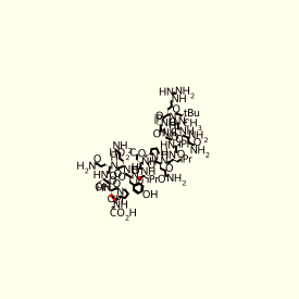 CC(C)C[C@H](NC(=O)[C@H](CCCNC(=N)N)NC(=O)[C@@H](N(C)C(=O)[C@H](C)NC(=O)[C@@H](N)CC(N)=O)C(C)(C)C)C(=O)NCC(=O)N[C@H](C(=O)N[C@@H](CC(C)C)C(=O)N[C@@H](CCC(N)=O)C(=O)N1CCC[C@H]1C(=O)N[C@@H](CCC(=O)O)C(=O)N[C@H](C(=O)N[C@@H](Cc1ccc(O)cc1)C(=O)N[C@@H](CCCCN)C(=O)N[C@@H](CCC(N)=O)C(=O)N[C@@H](CO)C(=O)N[C@@H](CC(C)C)C(=O)N1CCC[C@H]1C(=O)NCC(=O)O)C(C)C)C(C)C